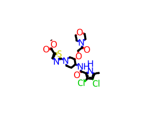 COC(=O)c1cnc(N2CCC(NC(=O)c3[nH]c(C)c(Cl)c3Cl)C(OCC(=O)N3CCOCC3)C2)s1